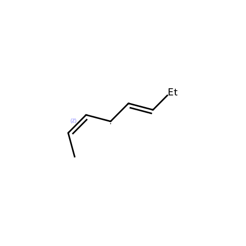 C/C=C\[CH]C=CCC